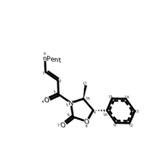 CCCCC/C=C/C(=O)N1C(=O)O[C@@H](c2ccccc2)[C@@H]1C